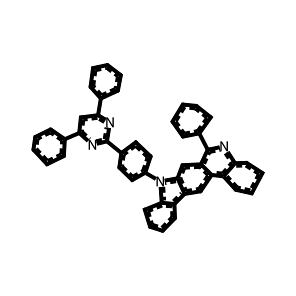 c1ccc(-c2cc(-c3ccccc3)nc(-c3ccc(-n4c5ccccc5c5cc6c(cc54)c(-c4ccccc4)nc4ccccc46)cc3)n2)cc1